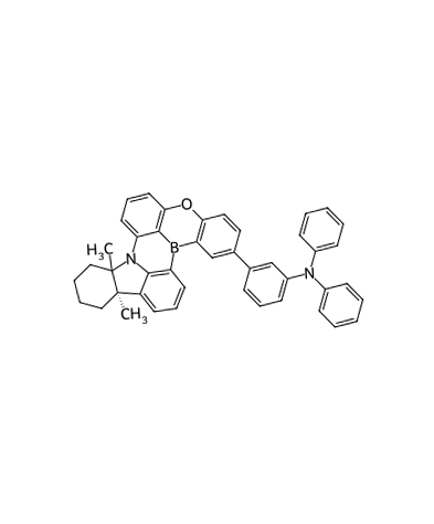 CC12CCCC[C@]1(C)c1cccc3c1N2c1cccc2c1B3c1cc(-c3cccc(N(c4ccccc4)c4ccccc4)c3)ccc1O2